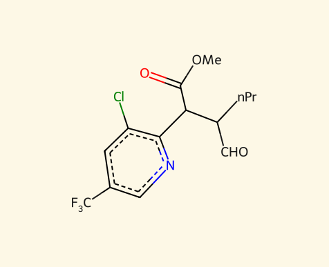 CCCC(C=O)C(C(=O)OC)c1ncc(C(F)(F)F)cc1Cl